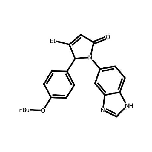 CCCCOc1ccc(C2C(CC)=CC(=O)N2c2ccc3[nH]cnc3c2)cc1